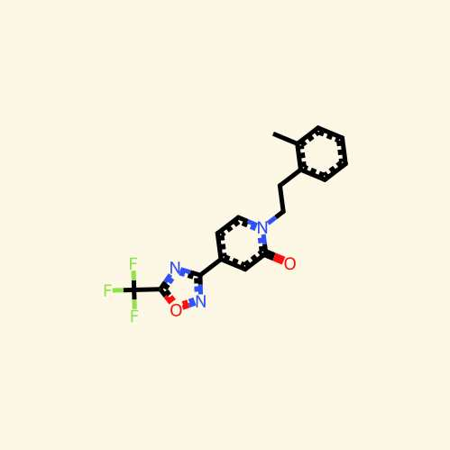 Cc1ccccc1CCn1ccc(-c2noc(C(F)(F)F)n2)cc1=O